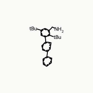 CC(C)(C)c1cc(CN)c(C(C)(C)C)c(-c2ccc(-c3ccccc3)cc2)c1